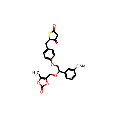 COc1cccc(C(COc2ccc(CC3SC(=O)CC3=O)cc2)OCc2oc(=O)oc2C)c1